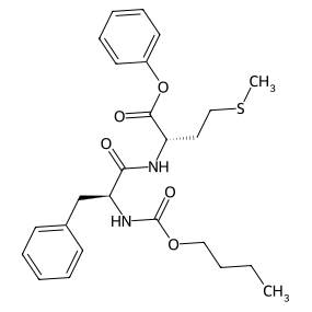 CCCCOC(=O)N[C@@H](Cc1ccccc1)C(=O)N[C@@H](CCSC)C(=O)Oc1ccccc1